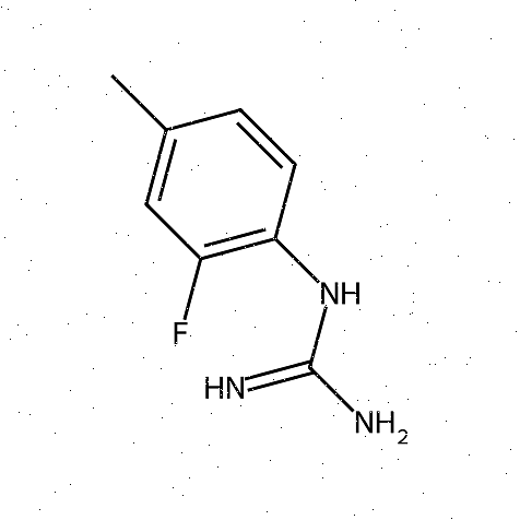 Cc1ccc(NC(=N)N)c(F)c1